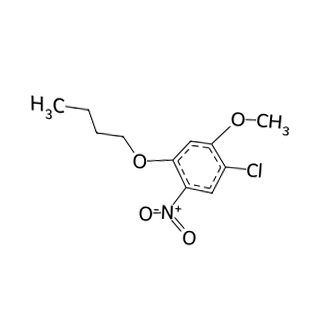 CCCCOc1cc(OC)c(Cl)cc1[N+](=O)[O-]